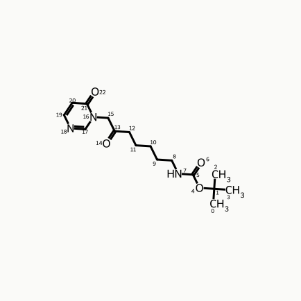 CC(C)(C)OC(=O)NCCCCCC(=O)Cn1cnccc1=O